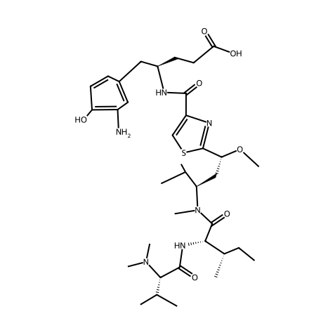 CC[C@H](C)[C@H](NC(=O)[C@H](C(C)C)N(C)C)C(=O)N(C)[C@H](C[C@@H](OC)c1nc(C(=O)N[C@H](CCC(=O)O)Cc2ccc(O)c(N)c2)cs1)C(C)C